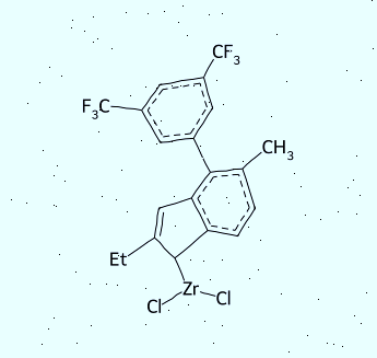 CCC1=Cc2c(ccc(C)c2-c2cc(C(F)(F)F)cc(C(F)(F)F)c2)[CH]1[Zr]([Cl])[Cl]